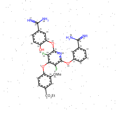 CCOC(=O)c1ccc(Oc2c(F)c(Oc3cccc(C(=N)N)c3)nc(Oc3cc(C(=N)N)ccc3O)c2F)c(OC)c1